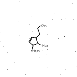 CCCCCCCCCCCCN1C=CN(CCCCCCC)C1CCCCCC